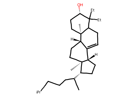 CCC1(CC)C2CC=C3[C@@H]4CC[C@H](C(C)CCCC(C)C)[C@@]4(C)CC[C@@H]3[C@@]2(C)CC[C@@H]1O